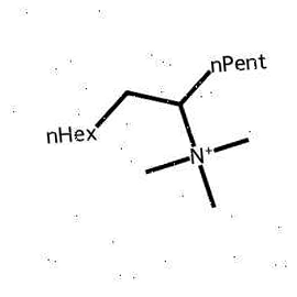 CCCCCCCC(CCCCC)[N+](C)(C)C